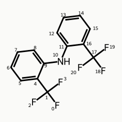 FC(F)(F)c1ccccc1Nc1ccccc1C(F)(F)F